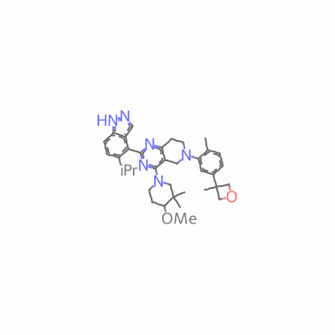 COC1CCN(c2nc(-c3c(C(C)C)ccc4[nH]ncc34)nc3c2CN(c2cc(C4(C)COC4)ccc2C)CC3)CC1(C)C